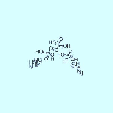 Cl.Cl.Cl.O=S(=O)(O)O.O=S(=O)(O)O.O=S(=O)(O)O.[Fe].[Fe].[Ni].[Ni].[Ni]